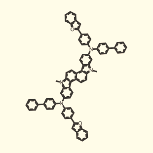 Cn1c2cc(N(c3ccc(-c4ccccc4)cc3)c3ccc(-c4cc5ccccc5o4)cc3)ccc2c2c3ccc4c(c3ccc21)c1ccc(N(c2ccc(-c3ccccc3)cc2)c2ccc(-c3cc5ccccc5o3)cc2)cc1n4C